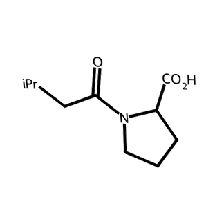 CC(C)CC(=O)N1CCCC1C(=O)O